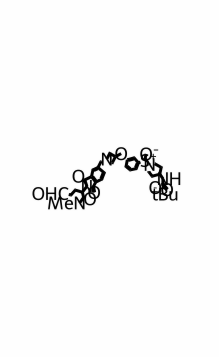 CNC(=O)C(CCC=O)N1C(=O)c2ccc(CN3CC(Oc4cccc([S+]([O-])N5CCC(NC(=O)OC(C)(C)C)CC5)c4)C3)cc2C1=O